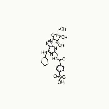 O=C(NCc1nc(NC2CCCCC2)c2ncn([C@@H]3O[C@H](CO)[C@@H](O)[C@@H]3O)c2n1)c1ccc(S(=O)(=O)O)cc1